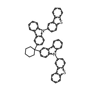 c1ccc2c(c1)sc1ccc(-n3c4ccccc4c4cc(C5(c6ccc7c(c6)c6ccccc6n7-c6ccc7sc8ccccc8c7c6)CCCCC5)ccc43)cc12